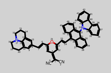 N#CC(C#N)=C1C=C(/C=C/c2cc3c4c(c2)CCCN4CCC3)OC(/C=C/c2c3ccccc3c(-n3c4ccccc4c4ccccc43)c3ccccc23)=C1